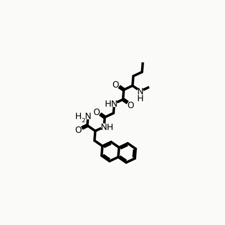 CCCC(NC)C(=O)C(=O)NCC(=O)NC(Cc1ccc2ccccc2c1)C(N)=O